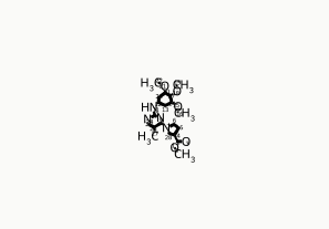 COC(=O)c1ccn(-c2nc(Nc3cc(OC)c(OC)c(OC)c3)ncc2C)c1